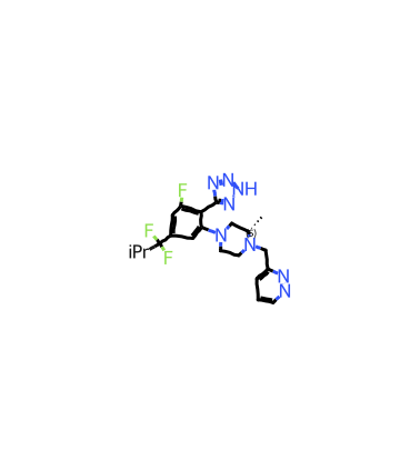 CC(C)C(F)(F)c1cc(F)c(-c2nn[nH]n2)c(N2CCN(Cc3cccnn3)[C@@H](C)C2)c1